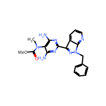 COC(=O)N(C)c1c(N)nc(-c2nn(Cc3ccccc3)c3ncccc23)nc1N